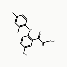 CCCCCNC(=O)c1cc([N+](=O)[O-])ccc1Nc1ccc(I)cc1C